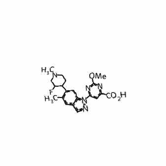 COc1nc(C(=O)O)cc(-n2ncc3cc(C)c(C4CCN(C)CC4F)cc32)n1